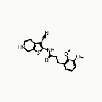 COc1cccc(CCC(=O)Nc2sc3c(c2C#N)CCNC3)c1OC